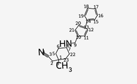 CC1(CC#N)CCC(NCc2ccc(-c3ccccc3)cc2)CC1